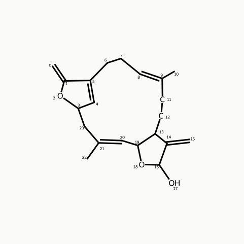 C=C1OC2C=C1CC/C=C(\C)CCC1C(=C)C(O)OC1/C=C(\C)C2